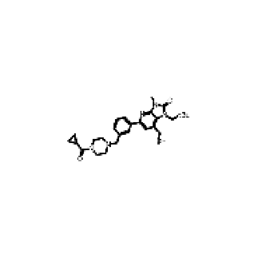 CC(C)Cc1cc(-c2cccc(CN3CCN(C(=O)C4CC4)CC3)c2)nc2c1n(CC(C)(C)C)c(=O)n2C